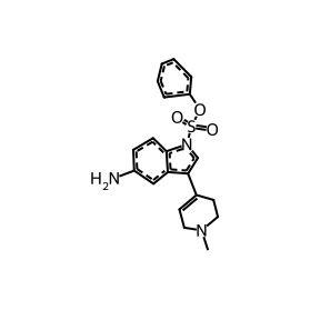 CN1CC=C(c2cn(S(=O)(=O)Oc3ccccc3)c3ccc(N)cc23)CC1